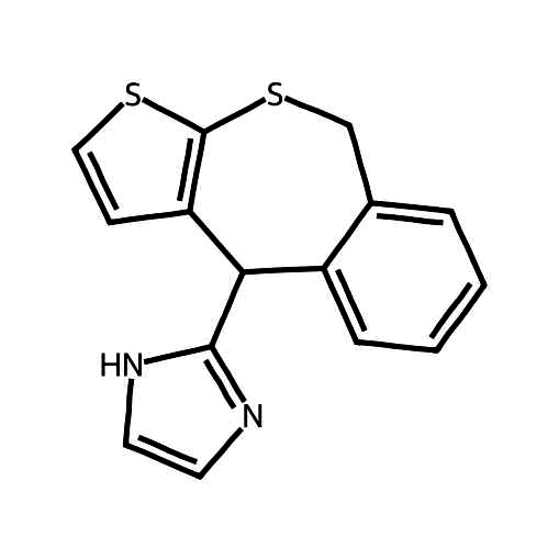 c1ccc2c(c1)CSc1sccc1C2c1ncc[nH]1